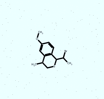 COc1ccc2c(c1)C(C)CSC2C(C)Br